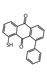 O=C1c2cccc(S)c2C(=O)c2c1cccc2-c1ccccc1